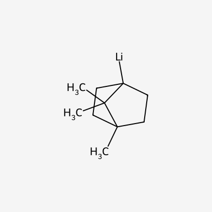 [Li][C]12CCC(C)(CC1)C2(C)C